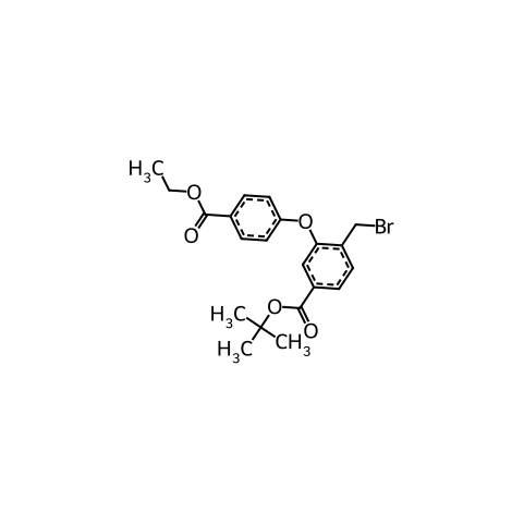 CCOC(=O)c1ccc(Oc2cc(C(=O)OC(C)(C)C)ccc2CBr)cc1